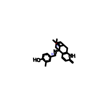 C=C1C=CC2=C(CC3C=C(C)CC2(/N=C/c2ccc(O)c(C)c2)/C3=C/C)N1